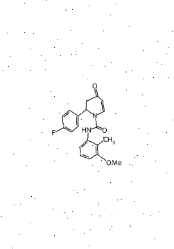 COc1cccc(NC(=O)N2C=CC(=O)CC2c2ccc(F)cc2)c1C